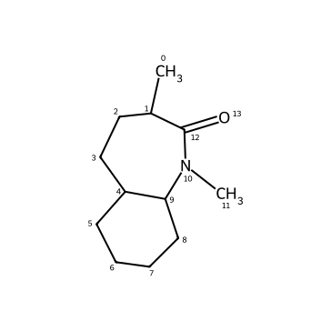 CC1CCC2CCCCC2N(C)C1=O